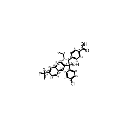 CCC[C@H](c1ccc(C(=O)O)cc1)C(O)(c1ccc(Cl)cc1)c1cnc2cc(C(F)(F)F)ccc2c1